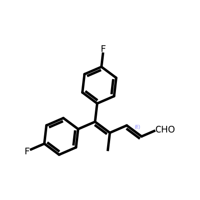 CC(/C=C/C=O)=C(c1ccc(F)cc1)c1ccc(F)cc1